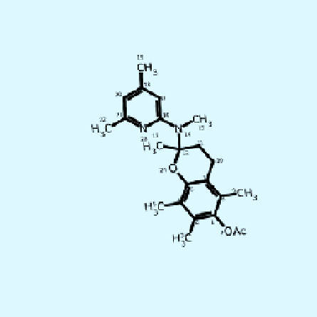 CC(=O)Oc1c(C)c(C)c2c(c1C)CCC(C)(N(C)c1cc(C)cc(C)n1)O2